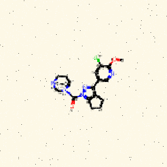 COc1ncc(-c2nn(C(=O)N3CCN4CCC3CC4)c3c2CCC3)cc1Cl